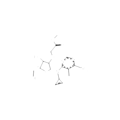 COC(=O)COC1C(O)[C@@H](CO)O[C@H]1N(c1ncnc(N)c1C)C1C=C1